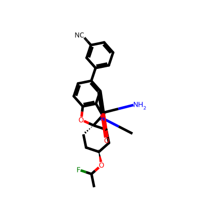 CC(F)O[C@H]1CC[C@]2(CC1)Oc1ccc(-c3cccc(C#N)c3)cc1C21N=C(N)N(C)C1=O